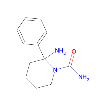 NC(=O)N1CCCCC1(N)c1ccccc1